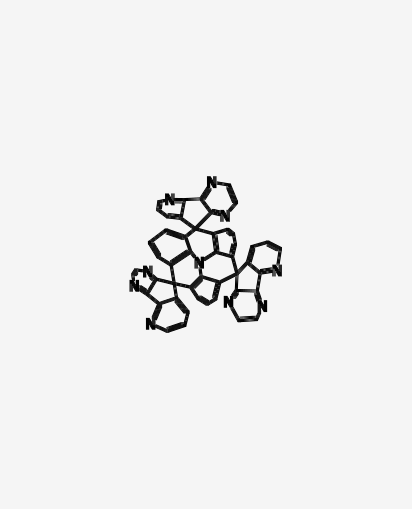 c1cnc2c(c1)C1(c3cccc4c3N3c5c1cccc5C1(c5cccnc5-c5nccnc51)c1cccc(c13)C41c3cccnc3-c3nccnc31)c1nccnc1-2